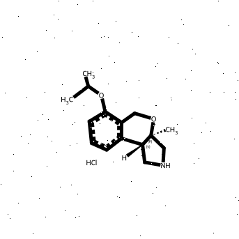 CC(C)Oc1cccc2c1CO[C@@]1(C)CNC[C@H]21.Cl